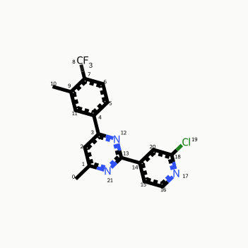 Cc1cc(-c2ccc(C(F)(F)F)c(C)c2)nc(-c2ccnc(Cl)c2)n1